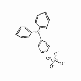 [O-][Cl+3]([O-])([O-])[O-].c1ccc([S+](c2ccccc2)c2ccccc2)cc1